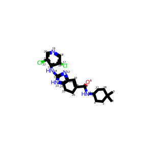 CC1(C)CCC(NC(=O)C2=Cc3nc(Nc4c(Cl)cncc4Cl)[nH]c3CC2)CC1